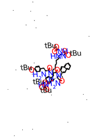 C[C@H](c1ccc2ccccc2c1)N(C(=O)[C@](CCCCCCNC(=NC(=O)OC(C)(C)C)NC(=O)OC(C)(C)C)(Cc1ccc(OC(C)(C)C)cc1)NC(=O)[C@@H](N)Cc1ccc(OC(C)(C)C)cc1)[C@@H](CCCCNC(=O)OC(C)(C)C)C(N)=O